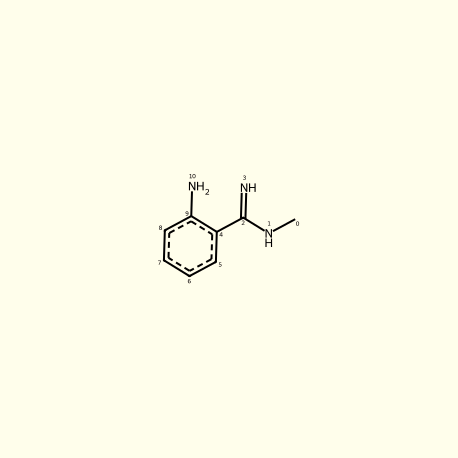 CNC(=N)c1ccccc1N